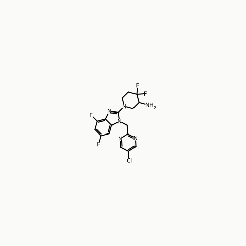 NC1CN(c2nc3c(F)cc(F)cc3n2Cc2ncc(Cl)cn2)CCC1(F)F